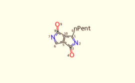 CCCCCc1nc(=O)c2cnc(=O)c1=2